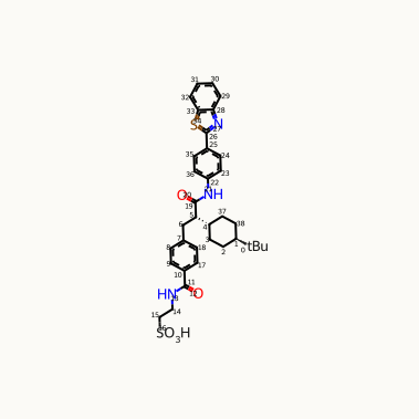 CC(C)(C)[C@H]1CC[C@H](C(Cc2ccc(C(=O)NCCS(=O)(=O)O)cc2)C(=O)Nc2ccc(-c3nc4ccccc4s3)cc2)CC1